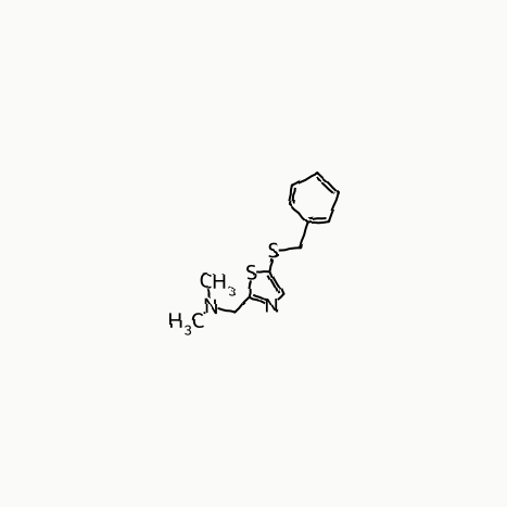 CN(C)Cc1ncc(SCc2ccccc2)s1